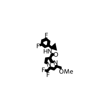 COCc1cc(C(F)F)n2ccc(C(=O)NC3(c4cc(F)cc(F)c4)CC3)c2n1